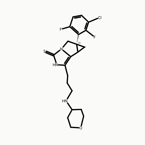 Fc1ccc(Cl)c(F)c1[C@]12CC1c1c(CCCNC3CCOCC3)[nH]c(=S)n1C2